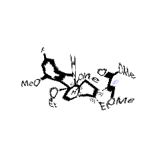 CCO[C@]12CCN3C[C@@H](CC)[C@@H](/C(=C\OC)C(=O)OC)C[C@H]3[C@@]1(OC)Nc1cc(F)cc(OC)c12